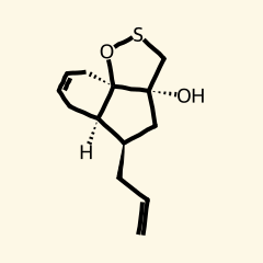 C=CC[C@@H]1C[C@]2(O)CSO[C@@]23CC=CC[C@H]13